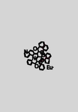 O=C(c1ccccc1)C(C(=O)c1ccccc1)c1nc2c(ccc3ncccc32)c(C(C(=O)c2ccccc2)C(=O)c2ccccc2)c1C(C(=O)c1ccccc1)C(=O)c1ccccc1.[Eu]